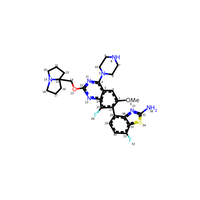 COc1cc2c(N3CCNCC3)nc(OCC34CCCN3CCC4)nc2c(F)c1-c1ccc(F)c2sc(N)nc12